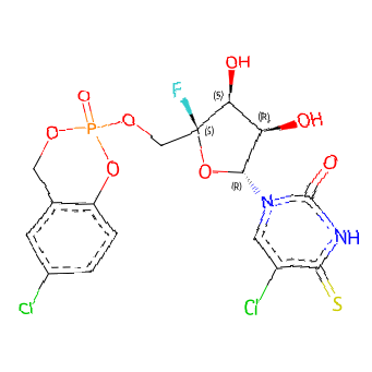 O=c1[nH]c(=S)c(Cl)cn1[C@@H]1O[C@](F)(COP2(=O)OCc3cc(Cl)ccc3O2)[C@@H](O)[C@H]1O